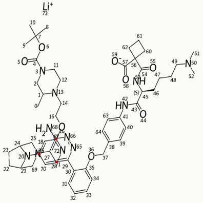 CC1CN(C(=O)OC(C)(C)C)CCN1CCOc1cc(N2C3CCC2CN(c2cc(-c4ccccc4OCc4ccc(NC(=O)[C@H](CCCCN(C)C)NC(=O)C5(C(=O)[O-])CCC5)cc4)nnc2N)C3)ccn1.[Li+]